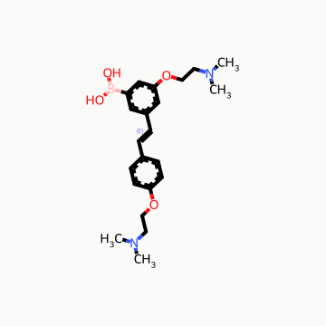 CN(C)CCOc1ccc(/C=C/c2cc(OCCN(C)C)cc(B(O)O)c2)cc1